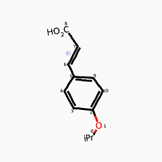 CC(C)Oc1ccc(/C=C/C(=O)O)cc1